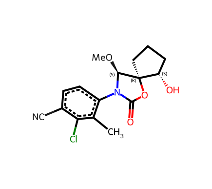 CO[C@@H]1N(c2ccc(C#N)c(Cl)c2C)C(=O)O[C@@]12CCC[C@@H]2O